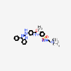 Cc1ccc(S(=O)(=O)NCCN(C)C)cc1NC(=O)c1ccc(Nc2nc(-c3ccccc3)c3ccccc3n2)cc1